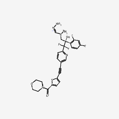 N/N=C\N(N)CC(O)(c1ccc(F)cc1F)C(F)(F)c1ccc(C#Cc2ccc(C(=O)N3CCOCC3)s2)cn1